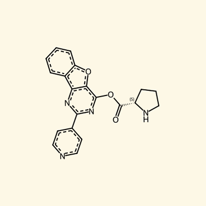 O=C(Oc1nc(-c2ccncc2)nc2c1oc1ccccc12)[C@@H]1CCCN1